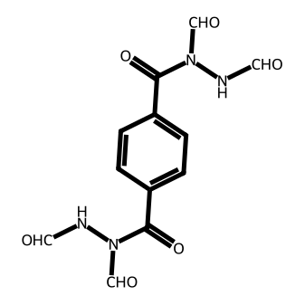 O=CNN(C=O)C(=O)c1ccc(C(=O)N(C=O)NC=O)cc1